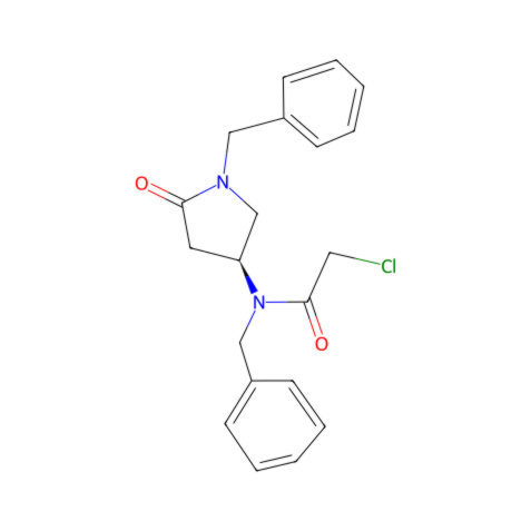 O=C1C[C@H](N(Cc2ccccc2)C(=O)CCl)CN1Cc1ccccc1